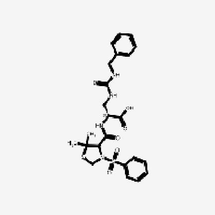 CC1(C)SCN(S(=O)(=O)c2ccccc2)C1C(=O)N[C@@H](CNC(=O)NCc1ccccc1)C(=O)O